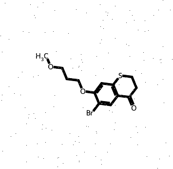 COCCCOc1cc2c(cc1Br)C(=O)CCS2